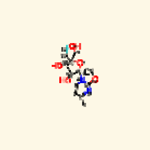 Cc1ccn([C@]2(C#N)O[C@@](CO)(CF)[C@@H](O)[C@H]2O)c(=O)n1